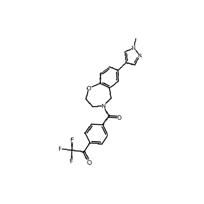 Cn1cc(-c2ccc3c(c2)CN(C(=O)c2ccc(C(=O)C(F)(F)F)cc2)CCO3)cn1